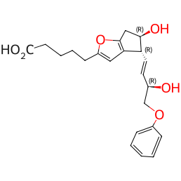 O=C(O)CCCCc1cc2c(o1)C[C@@H](O)[C@@H]2C=C[C@@H](O)COc1ccccc1